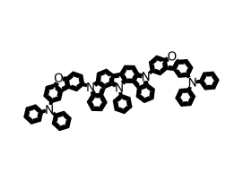 c1ccc(N(c2ccccc2)c2ccc3oc4ccc(-n5c6ccccc6c6c5ccc5c7ccc8c(c9ccccc9n8-c8ccc9oc%10ccc(N(c%11ccccc%11)c%11ccccc%11)cc%10c9c8)c7n(-c7ccccc7)c56)cc4c3c2)cc1